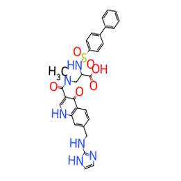 CN(CC(NS(=O)(=O)c1ccc(-c2ccccc2)cc1)C(=O)O)C(=O)c1c[nH]c2cc(CNc3ncc[nH]3)ccc2c1=O